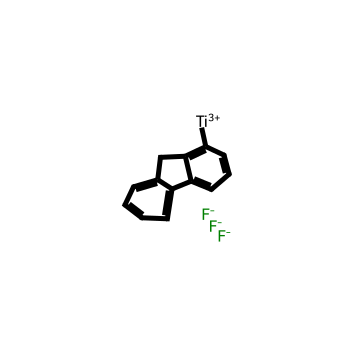 [F-].[F-].[F-].[Ti+3][c]1cccc2c1Cc1ccccc1-2